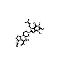 CC(C)=CCn1c(N2CCCC(NC(C=O)N3CCCC3C#N)C2)nc2c1c(=O)n(C)c(=O)n2C